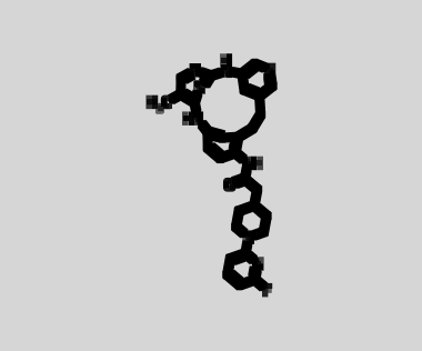 Cc1cnc2nc1Nc1ccc(NC(=O)CC3CCN(c4cccc(F)n4)CC3)c(c1)CCc1cncc(c1)N2